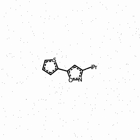 CC(C)c1cc(-c2cccs2)on1